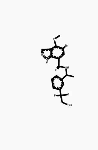 COc1c(Br)cc(C(=O)NC(C)c2cccc(C(F)(F)CO)c2)c2[nH]ncc12